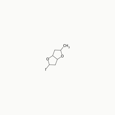 CC1CC2OC(I)CC2O1